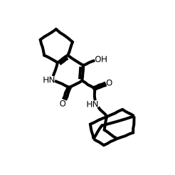 O=C(NC12CC3CC(CC(C3)C1)C2)c1c(O)c2c([nH]c1=O)CCCC2